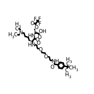 CCN(CC)CCCC[C@H](NC(=O)COCCOCCNC(=O)c1ccc(C(C)(C)C)cc1)C(=O)N[C@@H](COC(=O)C(F)(F)F)C(=O)O